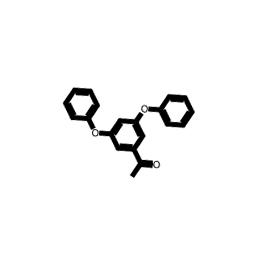 CC(=O)c1cc(Oc2ccccc2)cc(Oc2ccccc2)c1